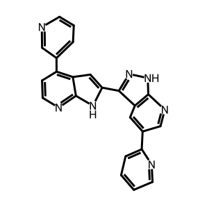 c1ccc(-c2cnc3[nH]nc(-c4cc5c(-c6cccnc6)ccnc5[nH]4)c3c2)nc1